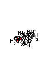 CS(=O)(=O)OCC1(COS(C)(=O)=O)O[C@H](N2C=NC3=C(NC=[N+]3)C2(N)C(=O)c2ccccc2)C(N=[N+]=[N-])[C@H]1OCc1ccccc1